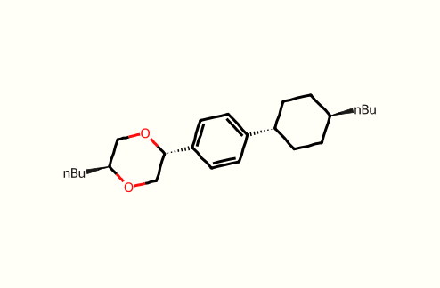 CCCC[C@H]1CO[C@H](c2ccc([C@H]3CC[C@H](CCCC)CC3)cc2)CO1